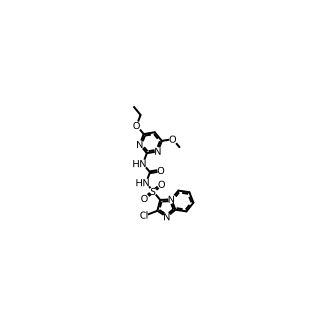 CCOc1cc(OC)nc(NC(=O)NS(=O)(=O)c2c(Cl)nc3ccccn23)n1